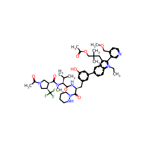 CCn1c(-c2cnccc2COC)c(CC(C)(C)COC(C)=O)c2cc(-c3cc(O)cc(C[C@H](NC(=O)[C@H](C(C)C)N(C)C(=O)[C@@H]4CN(C(C)=O)C[C@@H]4C(F)(F)F)C(=O)N4CCCCN4)c3)ccc21